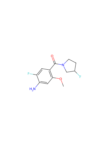 COc1cc(N)c(F)cc1C(=O)N1CCC(F)C1